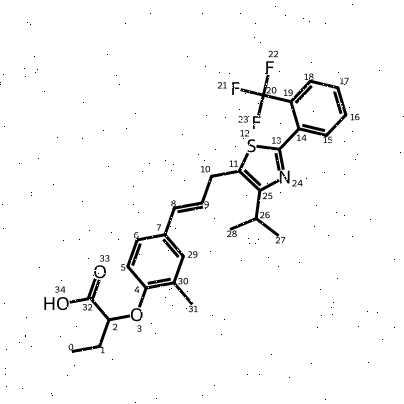 CCC(Oc1ccc(C=CCc2sc(-c3ccccc3C(F)(F)F)nc2C(C)C)cc1C)C(=O)O